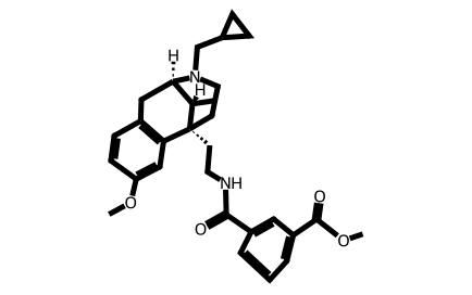 COC(=O)c1cccc(C(=O)NCC[C@]23CCN(CC4CC4)[C@H](Cc4ccc(OC)cc42)[C@@H]3C)c1